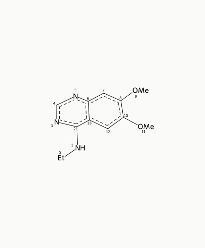 CCNc1ncnc2cc(OC)c(OC)cc12